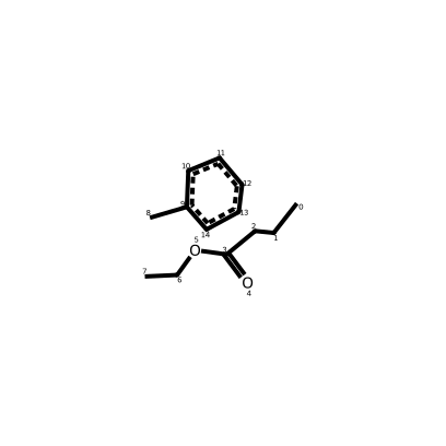 CCCC(=O)OCC.Cc1ccccc1